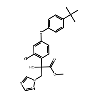 COC(=O)C(O)(Cn1cncn1)c1ccc(Oc2ccc(C(C)(C)C)cc2)cc1Cl